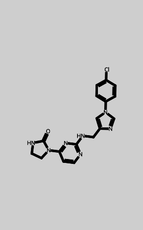 O=C1NCCN1c1ccnc(NCc2cn(-c3ccc(Cl)cc3)cn2)n1